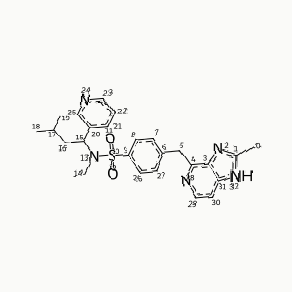 Cc1nc2c(Cc3ccc(S(=O)(=O)N(C)C(CC(C)C)c4cccnc4)cc3)nccc2[nH]1